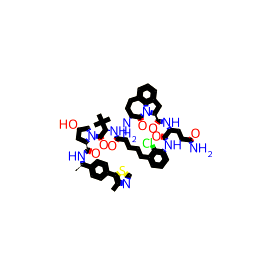 Cc1ncsc1-c1ccc([C@H](C)NC(=O)[C@@H]2C[C@@H](O)CN2C(=O)[C@@H](NC(=O)CCCCc2cccc(NC(=O)C(CCC(N)=O)NC(=O)[C@@H]3Cc4cccc5c4N3C(=O)[C@@H](N)CC5)c2Cl)C(C)(C)C)cc1